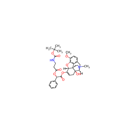 COc1ccc2c3c1O[C@H]1C(OC(=O)[C@H](OC(=O)CCNC(=O)OC(C)(C)C)c4ccccc4)=CC[C@@]4(O)[C@@H](C2)N(C)CC[C@]314